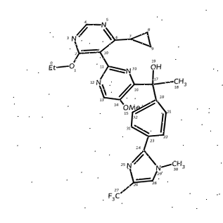 CCOc1ncnc(C2CC2)c1-c1ncc(OC)c(C(C)(O)c2ccc(-c3nc(C(F)(F)F)cn3C)cc2)n1